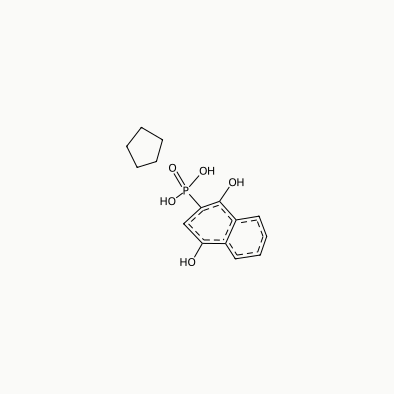 C1CCCC1.O=P(O)(O)c1cc(O)c2ccccc2c1O